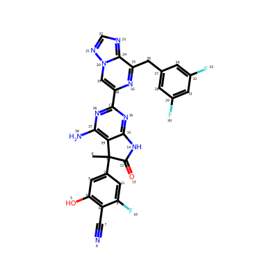 CC1(c2cc(O)c(C#N)c(F)c2)C(=O)Nc2nc(-c3cn4ncnc4c(Cc4cc(F)cc(F)c4)n3)nc(N)c21